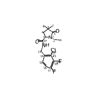 CCN1C(=O)C(C)(C)CC1C(=O)NCc1ccc(F)c(F)c1Cl